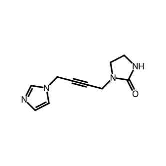 O=C1NCCN1CC#CCn1ccnc1